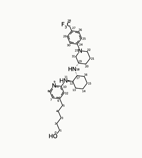 OCCCCCc1ccnc(N[C@@H]2CCCC[C@H]2N[C@H]2CCCN(c3ccc(C(F)(F)F)cc3)C2)c1